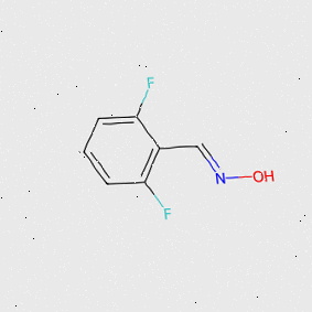 ON=Cc1c(F)c[c]cc1F